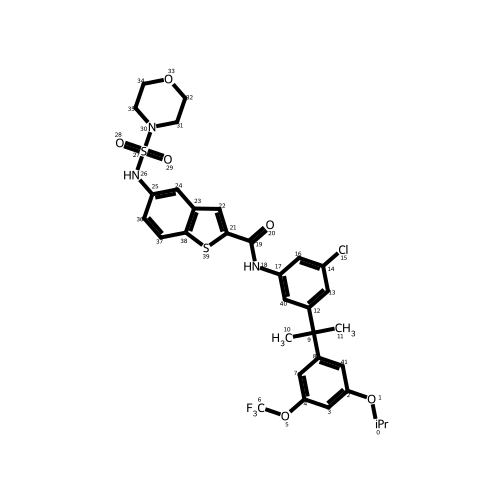 CC(C)Oc1cc(OC(F)(F)F)cc(C(C)(C)c2cc(Cl)cc(NC(=O)c3cc4cc(NS(=O)(=O)N5CCOCC5)ccc4s3)c2)c1